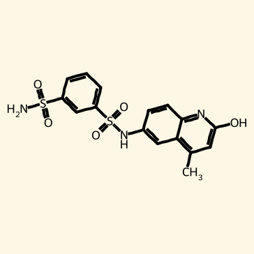 Cc1cc(O)nc2ccc(NS(=O)(=O)c3cccc(S(N)(=O)=O)c3)cc12